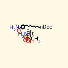 CCC(N)(CC)CC.CCCCCCCCCCCCCCCCCCc1ccc(C(N)=O)cc1.CCCS(=O)(=O)O